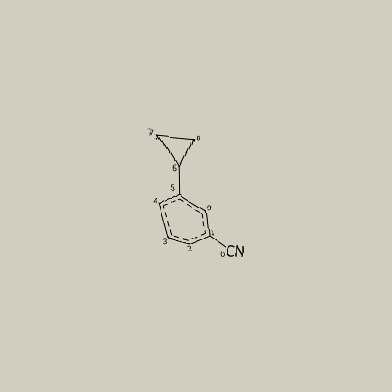 N#Cc1cccc(C2[CH]C2)c1